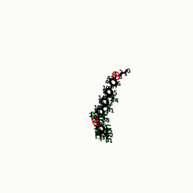 CCCCOc1ccc(-c2ccc(-c3ccc(-c4ccc(C(F)(F)Oc5cc(F)c(C(F)(F)F)c(F)c5)c(F)c4)c(F)c3)c(F)c2)cc1